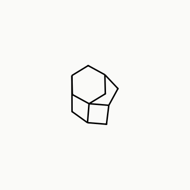 C1C2CC3CC4CC1CC34C2